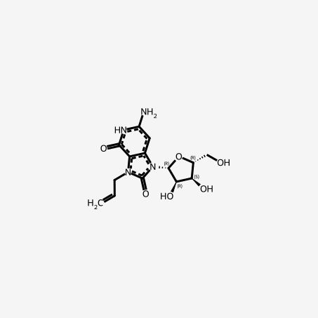 C=CCn1c(=O)n([C@@H]2O[C@H](CO)[C@@H](O)[C@H]2O)c2cc(N)[nH]c(=O)c21